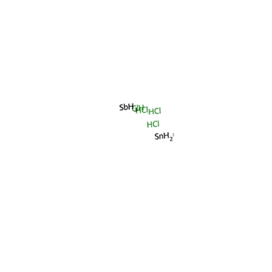 Cl.Cl.Cl.Cl.[SbH3].[SnH2]